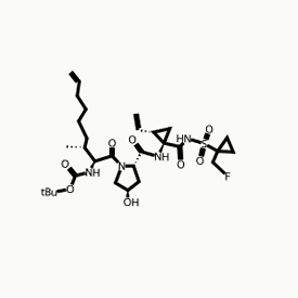 C=CCCCC[C@@H](C)[C@H](NC(=O)OC(C)(C)C)C(=O)N1C[C@H](O)C[C@H]1C(=O)N[C@]1(C(=O)NS(=O)(=O)C2(CF)CC2)C[C@H]1C=C